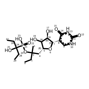 CCC(C)(C[C@H]1O[C@@H](c2c[nH]c(=O)[nH]c2=O)[C@H](O)C1O)OP(=O)(O)C(O)(CC)CC